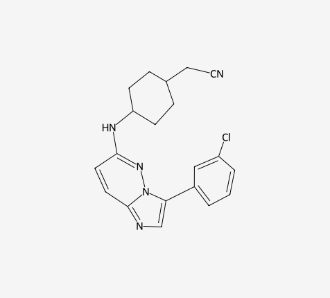 N#CCC1CCC(Nc2ccc3ncc(-c4cccc(Cl)c4)n3n2)CC1